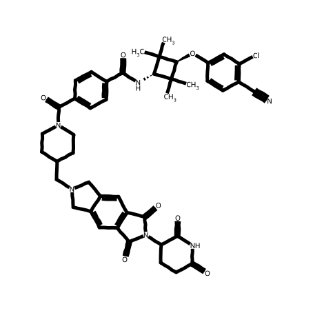 CC1(C)[C@H](NC(=O)c2ccc(C(=O)N3CCC(CN4Cc5cc6c(cc5C4)C(=O)N(C4CCC(=O)NC4=O)C6=O)CC3)cc2)C(C)(C)[C@H]1Oc1ccc(C#N)c(Cl)c1